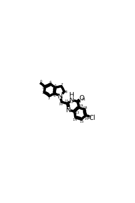 Cc1ccc2c(c1)CCN2Cc1nc2ccc(Cl)cc2c(=O)[nH]1